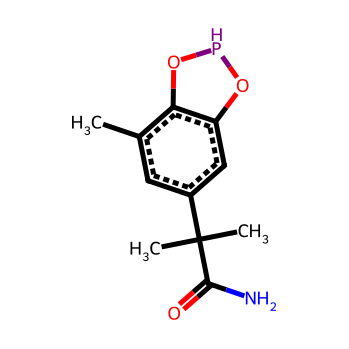 Cc1cc(C(C)(C)C(N)=O)cc2c1OPO2